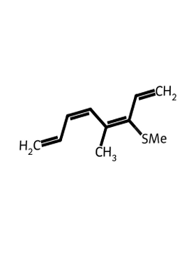 C=C/C=C\C(C)=C(/C=C)SC